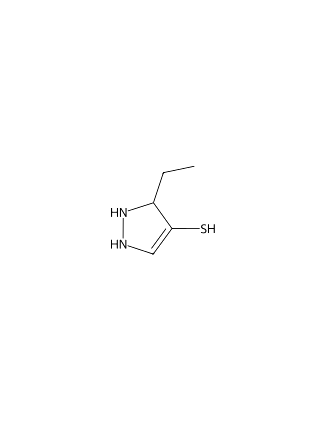 CCC1NNC=C1S